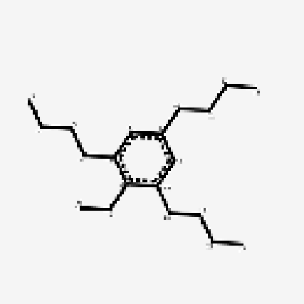 [CH2]Cc1c(CCCC)cc(CCCC)cc1CCCC